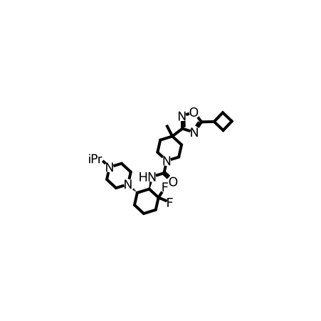 CC(C)N1CCN([C@H]2CCCC(F)(F)[C@@H]2NC(=O)N2CCC(C)(c3noc(C4CCC4)n3)CC2)CC1